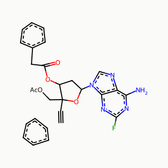 C#CC1(COC(C)=O)OC(n2cnc3c(N)nc(F)nc32)CC1OC(=O)Cc1ccccc1.c1ccccc1